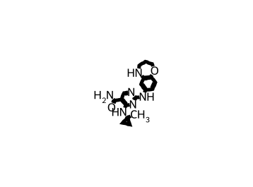 CC1(Nc2nc(Nc3ccc4c(c3)NCCCO4)ncc2C(N)=O)CC1